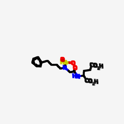 O=C(O)CCC(NC(=O)CN(CCCCc1ccccc1)[SH](=O)=O)C(=O)O